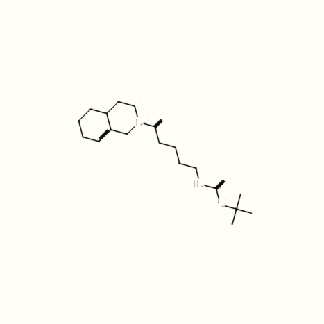 CC(C)(C)NC(=S)NCCCCC(=O)N1CCC2CCCC=C2C1